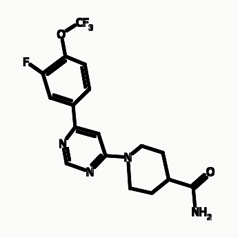 NC(=O)C1CCN(c2cc(-c3ccc(OC(F)(F)F)c(F)c3)ncn2)CC1